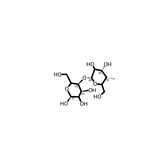 C[C@@H]1C(CO)O[C@H](O[C@@H]2C(CO)O[C@H](O)C(O)[C@@H]2O)C(O)[C@@H]1O